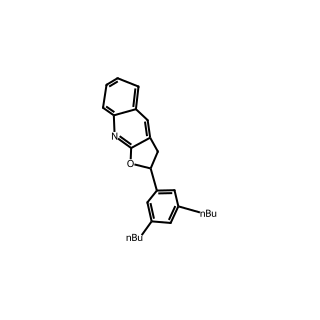 CCCCc1cc(CCCC)cc(C2Cc3cc4ccccc4nc3O2)c1